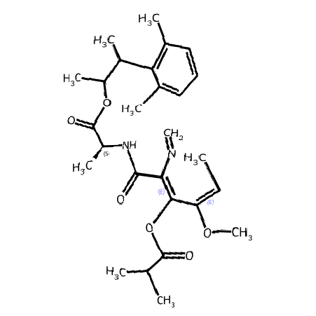 C=N/C(C(=O)N[C@@H](C)C(=O)OC(C)C(C)c1c(C)cccc1C)=C(OC(=O)C(C)C)\C(=C/C)OC